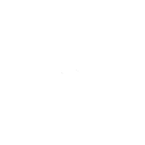 CC(C)N1C(=O)OCC1c1ccc(F)cn1